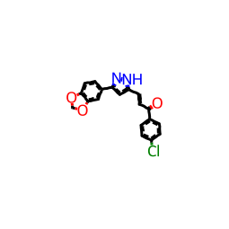 O=C(C=Cc1cc(-c2ccc3c(c2)OCO3)n[nH]1)c1ccc(Cl)cc1